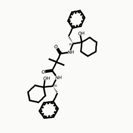 CC(C)(C(=O)N[C@H](Cc1ccccc1)C1(O)CCCCC1)C(=O)N[C@H](Cc1ccccc1)C1(O)CCCCC1